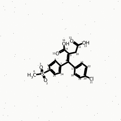 CS(=O)(=O)c1ccc(/C(=C(/CC(=O)O)C(=O)O)c2ccc(Cl)cc2)cc1